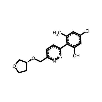 Cc1cc(Cl)cc(O)c1-c1ccc(CO[C@H]2CCOC2)nn1